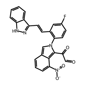 O=CC(=O)c1c2c([N+](=O)[O-])cccc2cn1-c1ccc(F)cc1C=Cc1n[nH]c2ccccc12